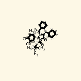 C[C@H](c1ccccc1)N1[C@@H](Cc2ccccc2)C(=O)N(C(=O)OC(C)(C)C)[C@@H]1c1ccc(Cl)c(Cl)c1